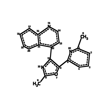 Cc1cccc(-c2oc(C)nc2-c2ccnc3ccccc23)n1